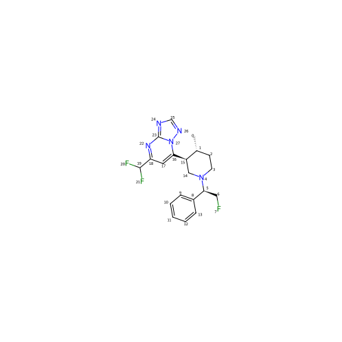 C[C@@H]1CCN([C@@H](CF)c2ccccc2)C[C@H]1c1cc(C(F)F)nc2ncnn12